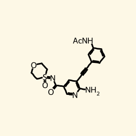 CC(=O)Nc1cccc(C#Cc2cc(C(=O)N=S3(=O)CCOCC3)cnc2N)c1